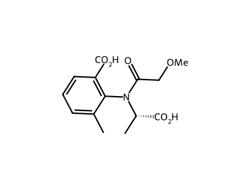 COCC(=O)N(c1c(C)cccc1C(=O)O)[C@@H](C)C(=O)O